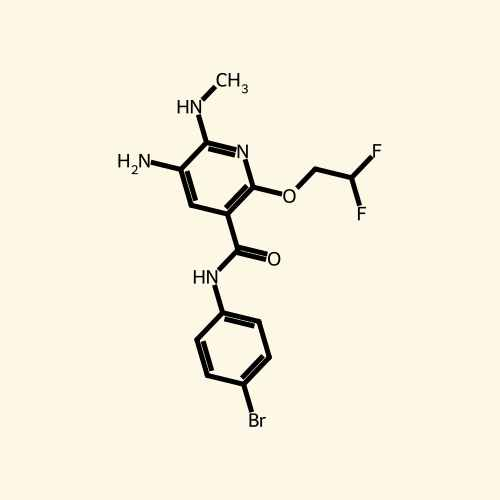 CNc1nc(OCC(F)F)c(C(=O)Nc2ccc(Br)cc2)cc1N